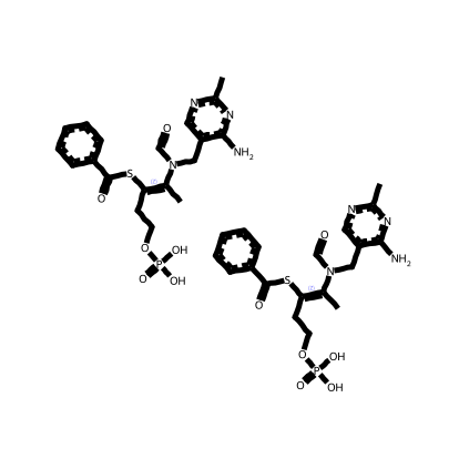 C/C(=C(\CCOP(=O)(O)O)SC(=O)c1ccccc1)N(C=O)Cc1cnc(C)nc1N.C/C(=C(\CCOP(=O)(O)O)SC(=O)c1ccccc1)N(C=O)Cc1cnc(C)nc1N